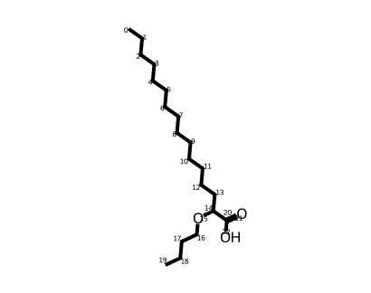 CCCCCCCCCCCCCCC(OCCCC)C(=O)O